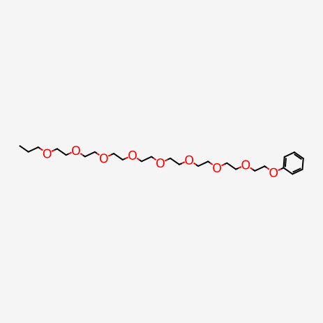 CCCOCCOCCOCCOCCOCCOCCOCCOCCOc1ccccc1